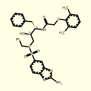 Cc1cccc(C)c1OCC(=O)N[C@@H](Cc1ccccc1)[C@H](O)CN(CC(C)C)S(=O)(=O)c1ccc2nc(N)oc2c1